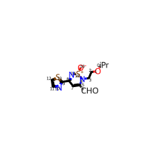 CC(C)OCCN1C(C=O)=CC(c2nccs2)=N[S+]1[O-]